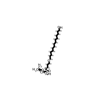 CC(C)(C)OCP(=O)(O)OCCCOCCCCCCCCCCCCCCCO